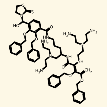 C=C(OCc1ccccc1)C(OCc1ccccc1)=C(NCCN(CCN)CCN)C(=O)NC(CCCNC(=O)c1ccc(C(O)N2CCSC2=S)c(OCc2ccccc2)c1OCc1ccccc1)CN(CCN)CCN